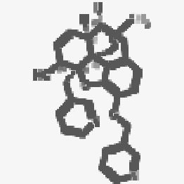 CN1CC[C@]23c4c5ccc(OCc6cccnc6)c4O[C@@]2(Cc2cccnc2)[C@@H](O)C=C[C@H]3[C@H]1C5